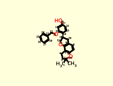 CC1(C)CCc2c(ccc3c2OC[C@@H](c2ccc(O)cc2OCc2ccccc2)C3)O1